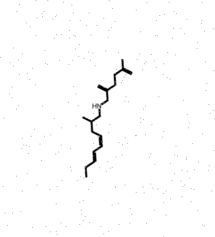 C=C(C)CCC(=C)CNCC(C)C/C=C\C=C\CC